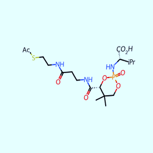 CC(=O)SCCNC(=O)CCNC(=O)[C@@H]1OP(=O)(N[C@H](C(=O)O)C(C)C)OCC1(C)C